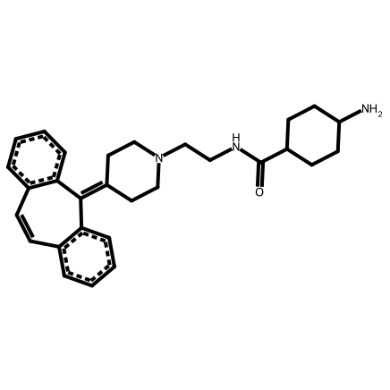 NC1CCC(C(=O)NCCN2CCC(=C3c4ccccc4C=Cc4ccccc43)CC2)CC1